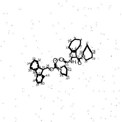 O=C(NC1SC2=C(CCCCC2)C1C(=O)N1CCCCC1)[C@@H]1CCCN1C(=O)OCC1c2ccccc2-c2ccccc21